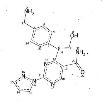 NCc1ccc([C@H](CO)c2nc(-n3cccn3)ncc2C(N)=O)cc1